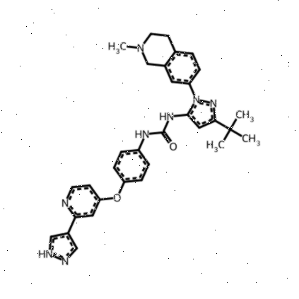 CN1CCc2ccc(-n3nc(C(C)(C)C)cc3NC(=O)Nc3ccc(Oc4ccnc(-c5cn[nH]c5)c4)cc3)cc2C1